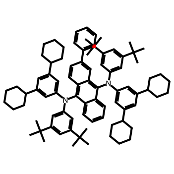 CC(C)(C)c1cc(N(c2cc(C3CCCCC3)cc(C3CCCCC3)c2)c2c3ccccc3c(N(c3cc(C4CCCCC4)cc(C4CCCCC4)c3)c3cc(C(C)(C)C)cc(C(C)(C)C)c3)c3cc(-c4ccccc4)ccc23)cc(C(C)(C)C)c1